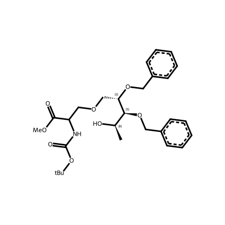 COC(=O)C(COC[C@H](OCc1ccccc1)[C@@H](OCc1ccccc1)[C@@H](C)O)NC(=O)OC(C)(C)C